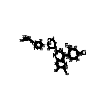 Cc1cc2nc([C@H]3CCO[C@@H](c4cnn(C5CC5)c4)C3)nc(-c3ccc(Cl)cc3F)c2nc1C